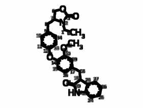 CCN1C(=O)OCC1Cc1ccc(Oc2ccc(CC3C(=O)Nc4ccccc43)cc2OC)cc1